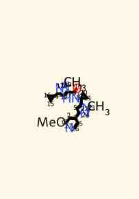 COc1cc(-c2cc(C3(NC(=O)c4cc(C5CC5)nn4C)CC3)n(C)n2)ccn1